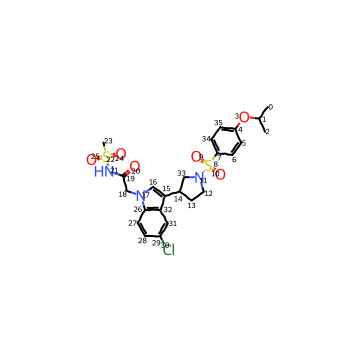 CC(C)Oc1ccc(S(=O)(=O)N2CCC(c3cn(CC(=O)NS(C)(=O)=O)c4ccc(Cl)cc34)C2)cc1